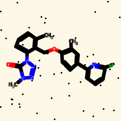 Cc1cc(-c2cccc(F)n2)ccc1OCc1c(C)cccc1-n1nnn(C)c1=O